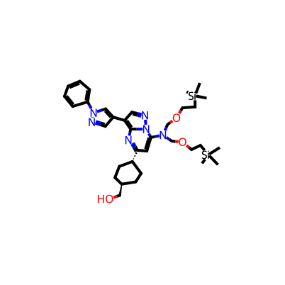 C[Si](C)(C)CCOCN(COCC[Si](C)(C)C)c1cc([C@H]2CC[C@H](CO)CC2)nc2c(-c3cnn(-c4ccccc4)c3)cnn12